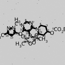 CCOC(=O)OC1CCN(c2ncnc(Oc3cc(C(F)(F)F)nn3C)c2N(S(C)(=O)=O)S(C)(=O)=O)CC1